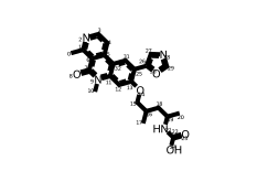 Cc1nccc2c1c(=O)n(C)c1cc(OCC(C)CC(C)NC(=O)O)c(-c3cnco3)cc21